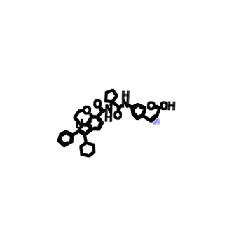 O=C(O)/C=C\c1ccc(NC(=O)C2(NC(=O)c3ccc4c(C5CCCCC5)c(-c5ccccc5)n5c4c3OCC5)CCCC2)cc1